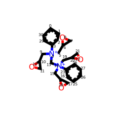 c1ccc([N+](CC2CO2)(CC2CO2)C[N+](CC2CO2)(CC2CO2)c2ccccc2)cc1